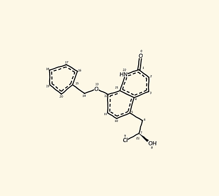 O=c1ccc2c(C[C@@H](O)Cl)ccc(OCc3ccccc3)c2[nH]1